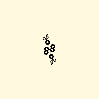 CCOC(=O)c1ccc(Oc2ccc3ccccc3c2-c2c(Oc3ccc(C(=O)OCC)cc3)ccc3ccccc23)cc1